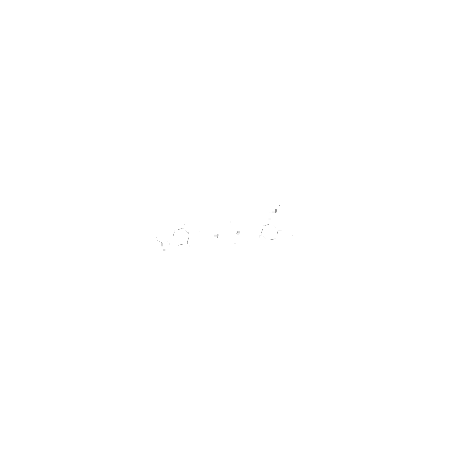 COc1cc(F)c(CCN2CCN(CCc3ccc4c(c3)COC4=O)CC2)cc1C#N